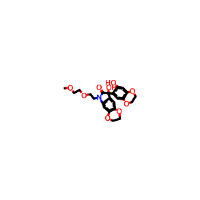 COCCOCCN1C(=O)C(O)(c2cc3c(cc2O)OCCO3)c2cc3c(cc21)OCCO3